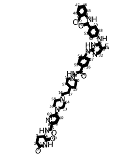 O=C1CC[C@H](NC(=O)c2ccc(N3CCN(CCC4CCN(NC(=O)c5ccc(Nc6ncc(F)c(Nc7ccc(C(=O)Nc8ccccc8Cl)cc7)n6)cc5)CC4)CC3)cn2)C(=O)N1